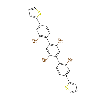 Brc1cc(-c2cccs2)ccc1-c1cc(Br)c(-c2ccc(-c3cccs3)cc2Br)cc1Br